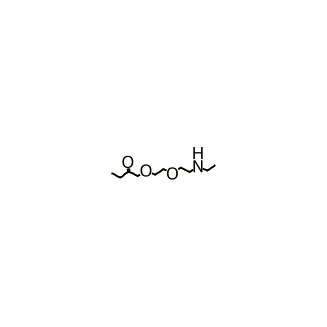 CCNCCOCCOCC(=O)CC